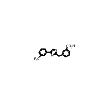 O=C(O)c1cccc(Cc2nc(-c3cccc(C(F)(F)F)c3)cs2)c1